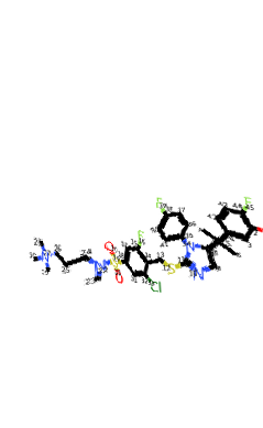 COc1cc(C(C)(C)C2CN=C(SCc3c(F)cc(S(=O)(=O)N(C)CCC[N+](C)(C)C)cc3Cl)N2c2ccc(F)cc2)ccc1F